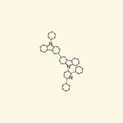 c1ccc(-c2ccc(-n3c4ccccc4c4cc(-c5ccc6c(c5)c5ccccc5n6-c5ccccc5)ccc43)c(-c3ccccc3)n2)cc1